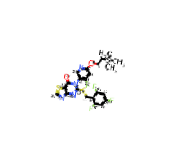 C[Si](C)(C)CCOc1cc(F)c(-n2c(SCc3c(F)cc(F)cc3F)nc3ncsc3c2=O)cn1